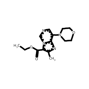 CCOC(=O)c1c(C)nc2c(N3CCOCC3)cncn12